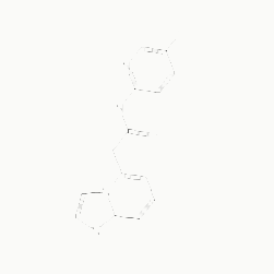 O=C(CC1=CC=CC2NC=CN12)Nc1ccc(C(F)(F)F)cn1